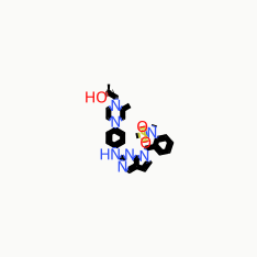 CC1CN(c2ccc(Nc3ncc4ccn(Cc5ccccc5N(C)S(C)(=O)=O)c4n3)cc2)CCN1C[C@H](C)O